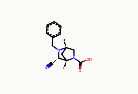 N#C[C@H]1[C@@H]2C[C@@H](CN2C(=O)O)N1Cc1ccccc1